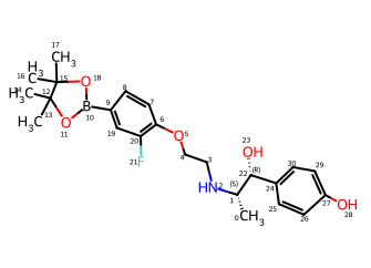 C[C@H](NCCOc1ccc(B2OC(C)(C)C(C)(C)O2)cc1F)[C@H](O)c1ccc(O)cc1